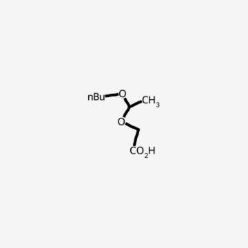 CCCCOC(C)OCC(=O)O